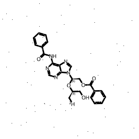 [2H]C[C@H](CO)O[C@H](COC(=O)c1ccccc1)n1cnc2c(NC(=O)c3ccccc3)ncnc21